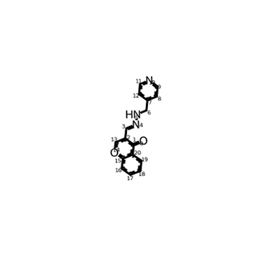 O=c1c(C=NNCc2ccncc2)coc2ccccc12